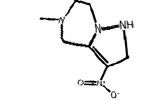 CN1CCN2NCC([N+](=O)[O-])=C2C1